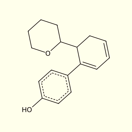 Oc1ccc(C2=CC=CCC2C2CCCCO2)cc1